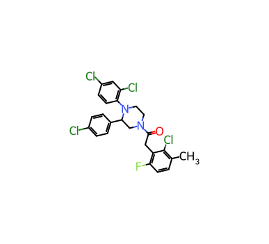 Cc1ccc(F)c(CC(=O)N2CCN(c3ccc(Cl)cc3Cl)C(c3ccc(Cl)cc3)C2)c1Cl